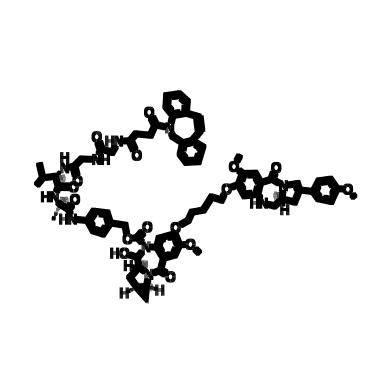 COc1ccc(C2=CN3C(=O)c4cc(OC)c(OCCCCCOc5cc6c(cc5OC)C(=O)N5[C@@H](C[C@@H]7C[C@@H]75)C(O)N6C(=O)OCc5ccc(NC(=O)[C@H](C)NC(=O)[C@@H](NC(=O)CNC(=O)CNC(=O)CCC(=O)N6Cc7ccccc7C#Cc7ccccc76)C(C)C)cc5)cc4NC[C@@H]3C2)cc1